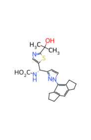 CC(C)(O)c1ncc([C@@H](NC(=O)O)c2ccn(-c3c4c(cc5c3CCC5)CCC4)n2)s1